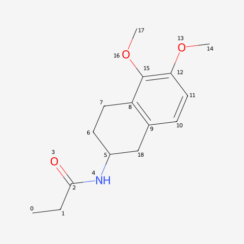 CCC(=O)NC1CCc2c(ccc(OC)c2OC)C1